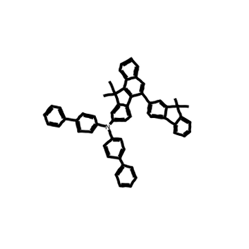 CC1(C)c2ccccc2-c2ccc(-c3cc4ccccc4c4c3-c3ccc(N(c5ccc(-c6ccccc6)cc5)c5ccc(-c6ccccc6)cc5)cc3C4(C)C)cc21